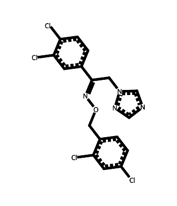 Clc1ccc(CON=C(Cn2cncn2)c2ccc(Cl)c(Cl)c2)c(Cl)c1